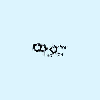 OC[C@H]1O[C@@H](c2nc3ncncc3[nH]2)[C@H](O)[C@H]1O